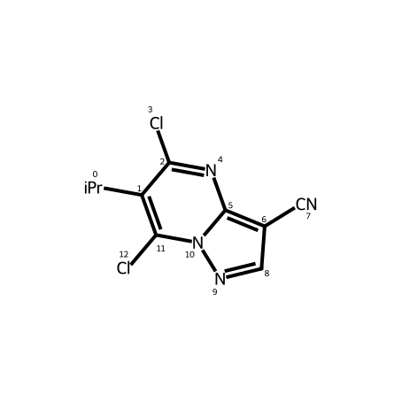 CC(C)c1c(Cl)nc2c(C#N)cnn2c1Cl